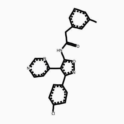 Cc1cccc(CC(=O)Nc2onc(-c3ccc(Cl)cc3)c2-c2ccncn2)c1